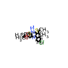 Cc1sc2c(c1C)C(c1ccc(Cl)cc1)=NC(CC(=O)OC(C)(C)C)C(=S)N2